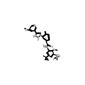 COc1cncc(C2=CN(c3cc(C(=O)Nc4cc(C5(C)CC5)cc(NS(C)(=O)=O)c4OC)ccc3C)NN2)c1